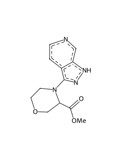 COC(=O)C1COCCN1c1n[nH]c2cnccc12